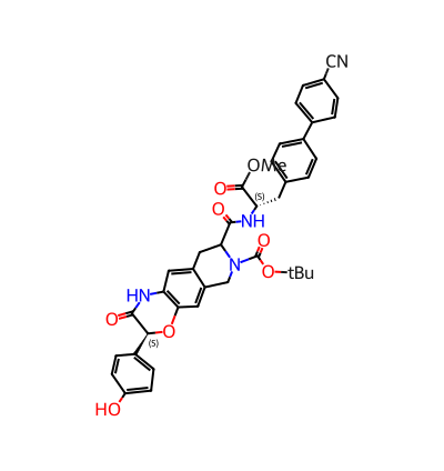 COC(=O)[C@H](Cc1ccc(-c2ccc(C#N)cc2)cc1)NC(=O)C1Cc2cc3c(cc2CN1C(=O)OC(C)(C)C)O[C@@H](c1ccc(O)cc1)C(=O)N3